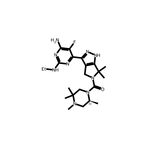 CCNc1nc(N)c(F)c(-c2n[nH]c3c2CN(C(=O)N2CC(C)(C)N(C)C[C@@H]2C)C3(C)C)n1